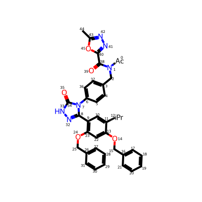 CC(=O)N(Cc1ccc(-n2c(-c3cc(C(C)C)c(OCc4ccccc4)cc3OCc3ccccc3)n[nH]c2=O)cc1)C(=O)c1nnc(C)o1